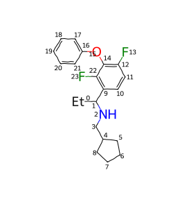 CCC(NCC1CCCC1)c1ccc(F)c(Oc2ccccc2)c1F